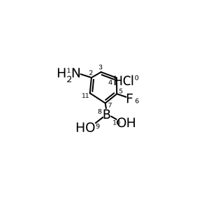 Cl.Nc1ccc(F)c(B(O)O)c1